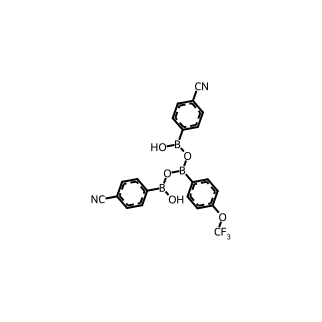 N#Cc1ccc(B(O)OB(OB(O)c2ccc(C#N)cc2)c2ccc(OC(F)(F)F)cc2)cc1